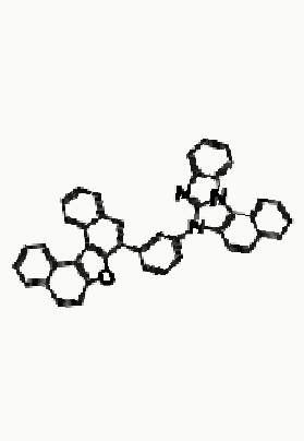 c1cc(-c2cc3ccccc3c3c2oc2ccc4ccccc4c23)cc(-n2c3ccc4ccccc4c3n3c4ccccc4nc23)c1